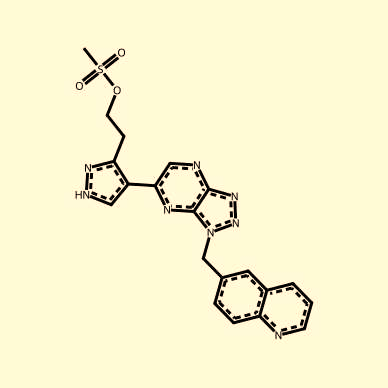 CS(=O)(=O)OCCc1n[nH]cc1-c1cnc2nnn(Cc3ccc4ncccc4c3)c2n1